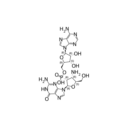 Nc1nc2c(ncn2[C@@H]2O[C@H](CO)[C@@H](N)[C@H]2P(=O)(O)OC[C@H]2O[C@@H](n3cnc4c(N)ncnc43)[C@H](O)[C@@H]2O)c(=O)[nH]1